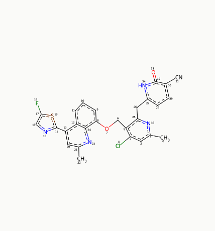 Cc1cc(Cl)c(COc2cccc3c(-c4ncc(F)s4)cc(C)nc23)c(Cc2ccc(C#N)c(=O)[nH]2)n1